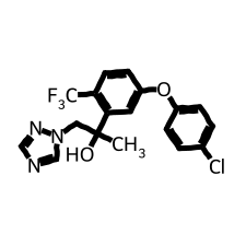 CC(O)(Cn1cncn1)c1cc(Oc2ccc(Cl)cc2)ccc1C(F)(F)F